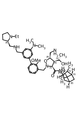 CCN1CCC[C@@H]1CNCc1cc(-c2cccc(CN3O[C@@H](CN)[C@@H]([C@H](C)O)[C@H]3C(=O)N[C@H]3C[C@H]4C[C@@H]([C@@H]3C)C4(C)C)c2OC)cc(N(C)C)c1